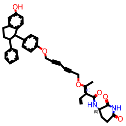 C=C/C(C(=O)N[C@H]1CCC(=O)NC1=O)=C(/C)OCC#CC#CCOc1ccc(C2c3ccc(O)cc3CCC2c2ccccc2)cc1